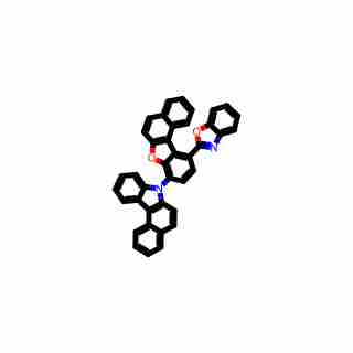 c1ccc2c(c1)ccc1oc3c(-n4c5ccccc5c5c6ccccc6ccc54)ccc(-c4nc5ccccc5o4)c3c12